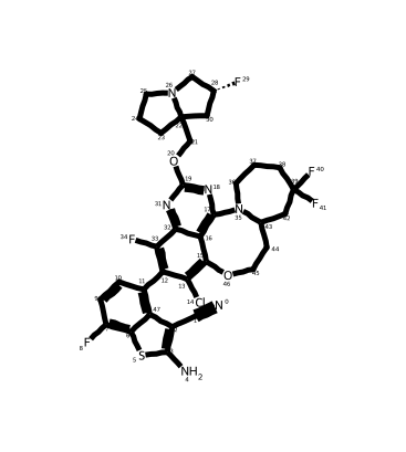 N#Cc1c(N)sc2c(F)ccc(-c3c(Cl)c4c5c(nc(OCC67CCCN6C[C@H](F)C7)nc5c3F)N3CCCC(F)(F)CC3CCO4)c12